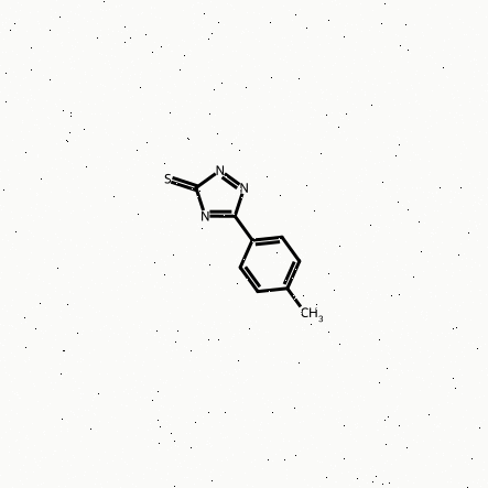 Cc1ccc(C2=NC(=S)N=N2)cc1